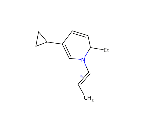 C/C=C/N1C=C(C2CC2)C=CC1CC